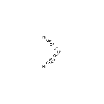 [Co+2].[Li+].[Li+].[Mn].[Mn].[Ni].[Ni].[O-2].[O-2]